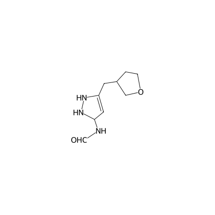 O=CNC1C=C(CC2CCOC2)NN1